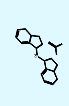 C1=CCC2CC[CH]([Zr][CH]3CCC4CC=CC=C43)C2=C1.C=C(C)C